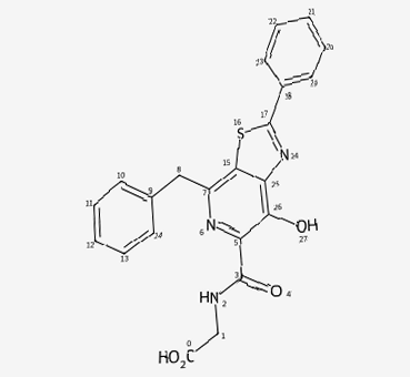 O=C(O)CNC(=O)c1nc(Cc2ccccc2)c2sc(-c3ccccc3)nc2c1O